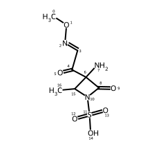 CON=CC(=O)C1(N)C(=O)N(S(=O)(=O)O)C1C